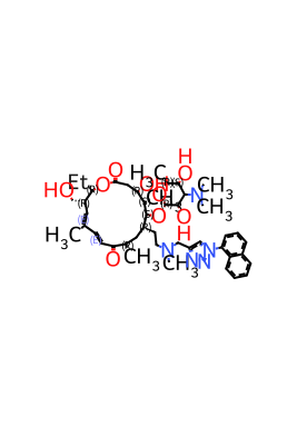 CC[C@H]1OC(=O)C[C@@H](O)[C@H](C)[C@@H](O[C@@H]2O[C@H](C)[C@@H](O)C(N(C)C)C2O)[C@@H](CCN(C)Cc2cn(-c3cccc4ccccc34)nn2)C[C@@H](C)C(=O)/C=C/C(C)=C/[C@@H]1CO